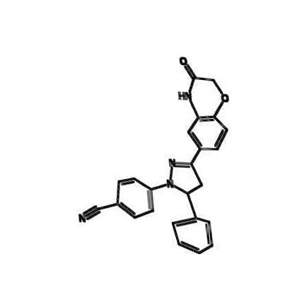 N#Cc1ccc(N2N=C(c3ccc4c(c3)NC(=O)CO4)CC2c2ccccc2)cc1